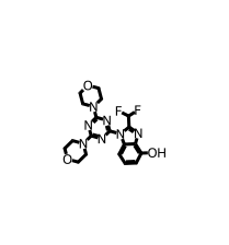 Oc1cccc2c1nc(C(F)F)n2-c1nc(N2CCOCC2)nc(N2CCOCC2)n1